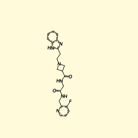 O=C(CNC(=O)C1CN(CCc2nc3ccccc3[nH]2)C1)NCc1ncccc1F